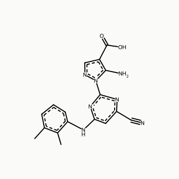 Cc1cccc(Nc2cc(C#N)nc(-n3ncc(C(=O)O)c3N)n2)c1C